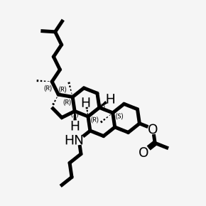 CCCCNC1CC2CC(OC(C)=O)CC[C@]2(C)[C@H]2CC[C@]3(C)[C@@H]([C@H](C)CCCC(C)C)CC[C@H]3[C@H]12